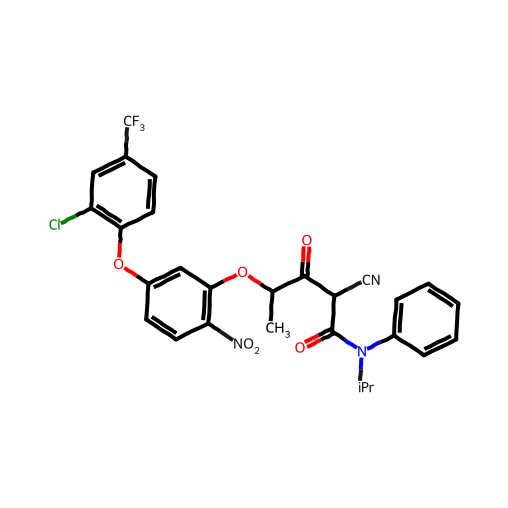 CC(Oc1cc(Oc2ccc(C(F)(F)F)cc2Cl)ccc1[N+](=O)[O-])C(=O)C(C#N)C(=O)N(c1ccccc1)C(C)C